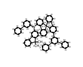 CC1(C)c2ccccc2-c2cc(N(c3cccc(-c4ccccc4)c3)c3cccc4c3-c3ccccc3C43c4ccccc4-c4ccc(-c5cc(-c6ccccc6)cc(-c6ccccc6)c5)cc43)ccc21